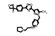 Cc1cc(-c2nc(-c3ccc(C4(F)COC4)cc3)no2)nn1Cc1ccc(NCCN2CCCC2)nc1